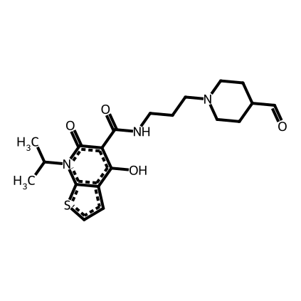 CC(C)n1c(=O)c(C(=O)NCCCN2CCC(C=O)CC2)c(O)c2ccsc21